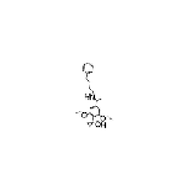 CCOc1cc(C(C)NCCCCc2ccccc2)cc(OCC)c1C1(O)CC1